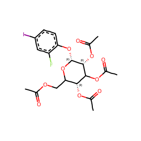 CC(=O)OCC1O[C@H](Oc2ccc(I)cc2F)[C@H](OC(C)=O)C(OC(C)=O)[C@@H]1OC(C)=O